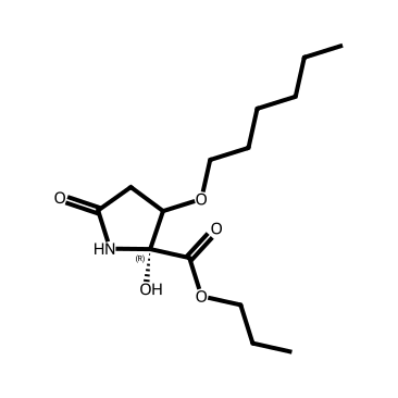 CCCCCCOC1CC(=O)N[C@]1(O)C(=O)OCCC